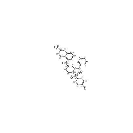 O=C(c1ccccc1)C1CN(Nc2ccnc3cc(C(F)(F)F)ccc23)CCN1S(=O)(=O)c1ccc(F)cc1